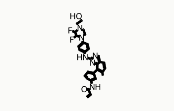 C=CC(=O)Nc1cccc(-c2c(C)ccc3cnc(Nc4ccc(N5CCN(CCO)C(F)C5F)cc4)nc23)c1